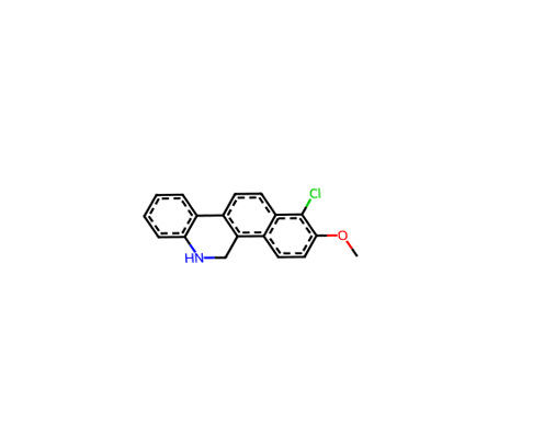 COc1ccc2c3c(ccc2c1Cl)-c1ccccc1NC3